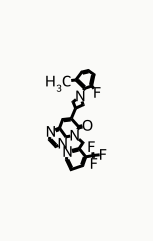 Cc1cccc(F)c1N1CC(c2cc3nccnc3n(Cc3ncccc3C(F)(F)F)c2=O)C1